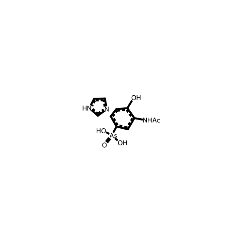 CC(=O)Nc1cc([As](=O)(O)O)ccc1O.c1c[nH]cn1